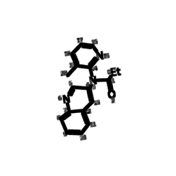 CCC(=O)N(c1cnc2ccccc2c1)c1ncccc1C